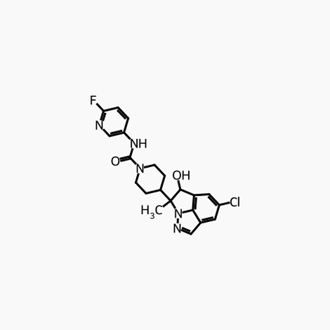 CC1(C2CCN(C(=O)Nc3ccc(F)nc3)CC2)C(O)c2cc(Cl)cc3cnn1c23